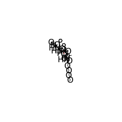 COCCOCCOCCOCCC(=O)N/N=C(/C(CC(C)C)NC(=O)[C@H](Cc1ccccc1)NC(=O)[C@H](CC(C)C)NC(=O)[C@H](CCc1ccccc1)NC(=O)CN1CCOCC1)[C@@]1(C)CO1